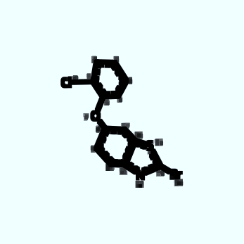 Clc1ccccc1Oc1ccc2nc(Br)sc2c1